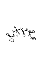 CCC(=O)NCC(C)(C)SC(=O)CC(=O)OC(C)C